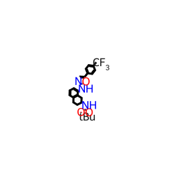 CC(C)(C)OC(=O)NC1CCc2cccc(Nc3ncc(-c4ccc(C(F)(F)F)cc4)o3)c2C1